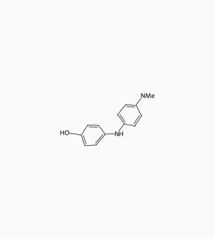 CNc1ccc(Nc2ccc(O)cc2)cc1